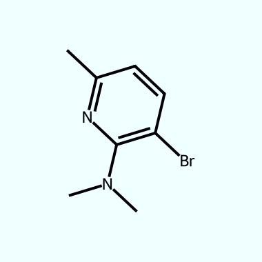 Cc1ccc(Br)c(N(C)C)n1